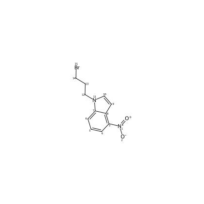 O=[N+]([O-])c1cccc2c1ccn2CCCBr